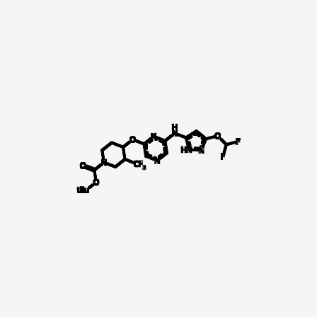 CC(C)(C)OC(=O)N1CCC(Oc2cncc(Nc3cc(OC(F)F)n[nH]3)n2)C(C(F)(F)F)C1